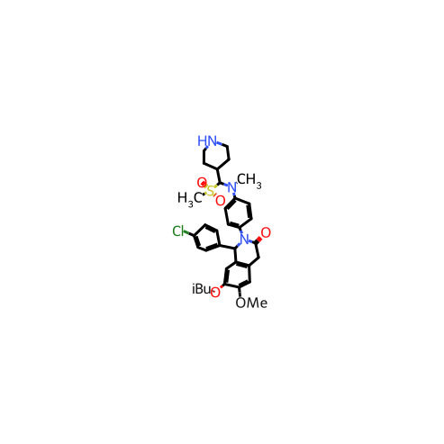 CC[C@@H](C)Oc1cc2c(cc1OC)CC(=O)N(c1ccc(N(C)C(C3CCNCC3)S(C)(=O)=O)cc1)C2c1ccc(Cl)cc1